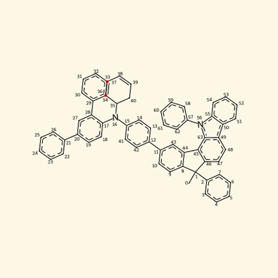 CC1(c2ccccc2)c2ccc(-c3ccc(N(c4ccc(-c5ccccc5)cc4-c4ccccc4)C4C=CC=CC4)cc3)cc2-c2c1ccc1c3ccccc3n(-c3ccccc3)c21